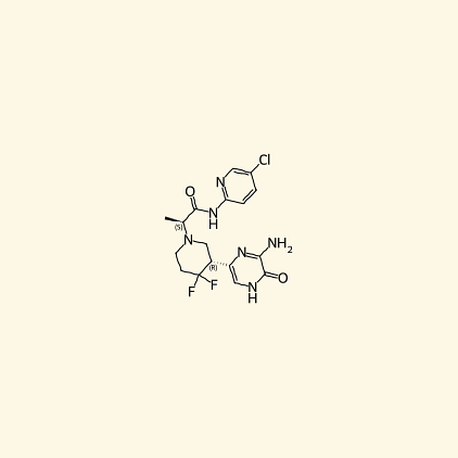 C[C@@H](C(=O)Nc1ccc(Cl)cn1)N1CCC(F)(F)[C@@H](c2c[nH]c(=O)c(N)n2)C1